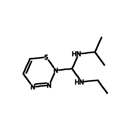 CCNC(NC(C)C)N1N=NC=CS1